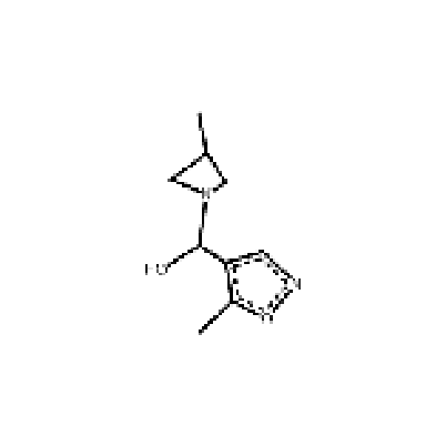 Cc1oncc1C(O)N1CC(C)C1